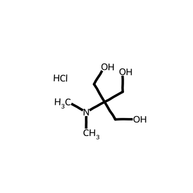 CN(C)C(CO)(CO)CO.Cl